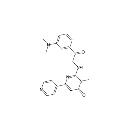 CN(C)c1cccc(C(=O)CNc2nc(-c3ccncc3)cc(=O)n2C)c1